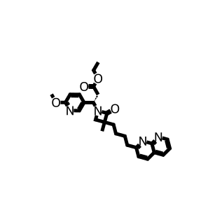 CCOC(=O)C[C@@H](c1ccc(OC)nc1)N1CC(C)(CCCCc2ccc3cccnc3n2)C1=O